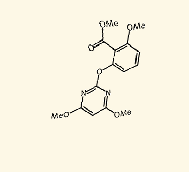 COC(=O)c1c(OC)cccc1Oc1nc(OC)cc(OC)n1